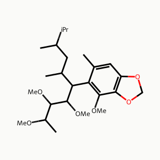 COc1c2c(cc(C)c1C(C(C)CC(C)C(C)C)C(OC)C(OC)C(C)OC)OCO2